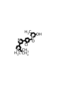 C[C@@H]1C[C@@H](O)CN(C(=O)c2ccc(-c3cncc(-c4ccnc(C(C)(C)C)c4)c3)c(Cl)c2)C1